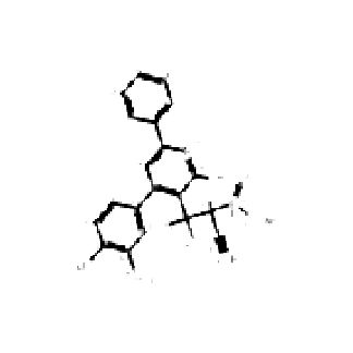 C#CC(C(=O)O)([PH](=O)OC)C(C)(O)c1c(-c2ccc(F)c(C)c2)cc(-c2ccccc2)nc1C(C)C